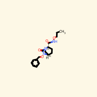 C[CH]CONC(=O)[C@@H]1CC[C@@H]2CN1C(=O)N2OCc1ccccc1